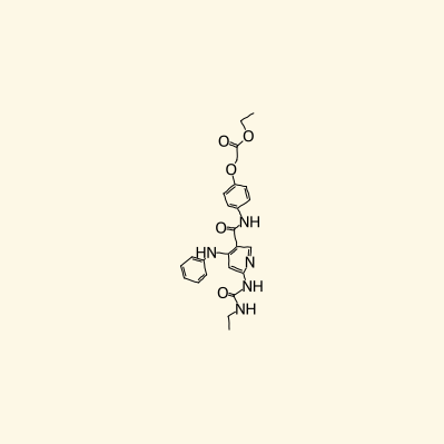 CCNC(=O)Nc1cc(Nc2ccccc2)c(C(=O)Nc2ccc(OCC(=O)OCC)cc2)cn1